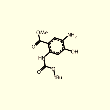 COC(=O)c1cc(N)c(O)cc1NC(=O)OC(C)(C)C